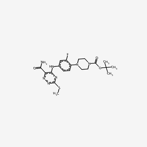 CSc1nnc(C(N)=O)c(Nc2ccc(N3CCN(C(=O)OC(C)(C)C)CC3)c(F)c2)n1